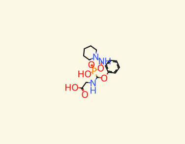 O=C(O)CNC(Oc1ccccc1)P(=O)(O)ONN1CCCCC1